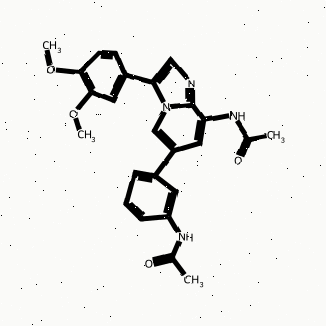 COc1ccc(-c2cnc3c(NC(C)=O)cc(-c4cccc(NC(C)=O)c4)cn23)cc1OC